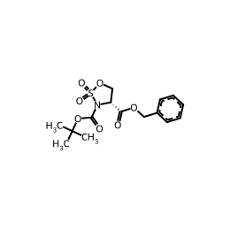 CC(C)(C)OC(=O)N1[C@@H](C(=O)OCc2ccccc2)COS1(=O)=O